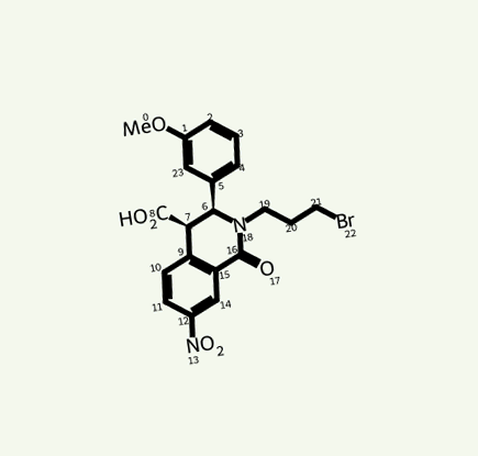 COc1cccc([C@@H]2[C@H](C(=O)O)c3ccc([N+](=O)[O-])cc3C(=O)N2CCCBr)c1